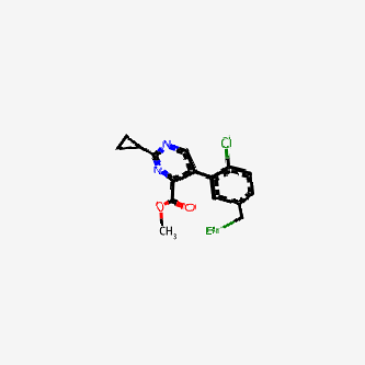 COC(=O)c1nc(C2CC2)ncc1-c1cc(CBr)ccc1Cl